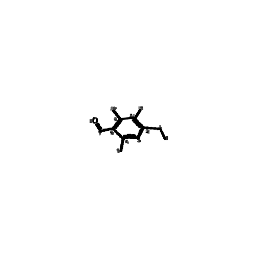 CCc1cc(C)c(C=O)c(C)c1C